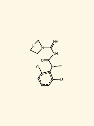 CCc1cccc(Cl)c1N(C)C(=O)NC(=N)N1CCCC1